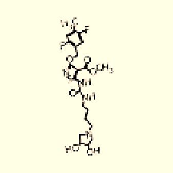 COC(=O)c1c(OCc2cc(F)c(C)cc2F)nsc1NC(=O)NCCCCN1CC(O)C(O)C1